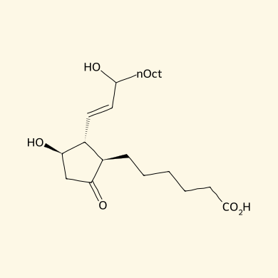 CCCCCCCCC(O)C=C[C@H]1[C@H](O)CC(=O)[C@@H]1CCCCCC(=O)O